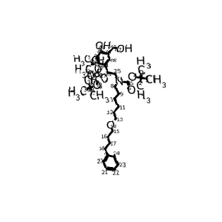 CC(C)(C)OC(=O)N(CCCCCCOCCCCc1ccccc1)CC(OP(=O)(OC(C)(C)C)OC(C)(C)C)c1ccc(O)c(CO)c1